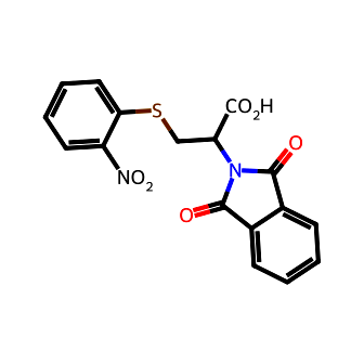 O=C(O)C(CSc1ccccc1[N+](=O)[O-])N1C(=O)c2ccccc2C1=O